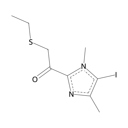 CCSCC(=O)c1nc(C)c(I)n1C